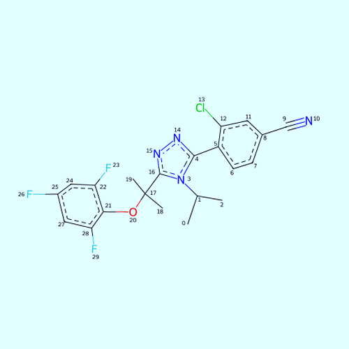 CC(C)n1c(-c2ccc(C#N)cc2Cl)nnc1C(C)(C)Oc1c(F)cc(F)cc1F